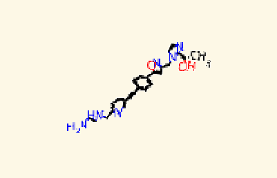 C[C@H](O)c1nccn1Cc1cc(-c2ccc(C#Cc3ccc(CNCCN)nc3)cc2)on1